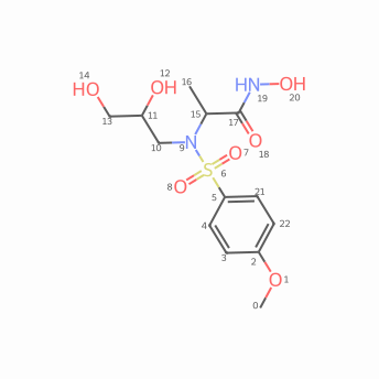 COc1ccc(S(=O)(=O)N(CC(O)CO)C(C)C(=O)NO)cc1